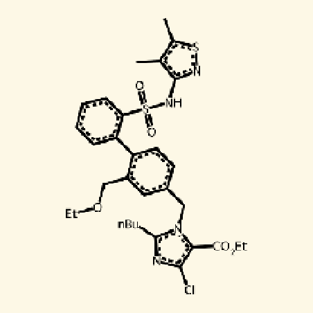 CCCCc1nc(Cl)c(C(=O)OCC)n1Cc1ccc(-c2ccccc2S(=O)(=O)Nc2nsc(C)c2C)c(COCC)c1